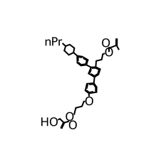 C=C(C)C(=O)OCCCc1ccc(-c2ccc(OCCCCOC(=O)C(=C)CO)cc2)cc1-c1ccc(C2CCC(CCC)CC2)cc1